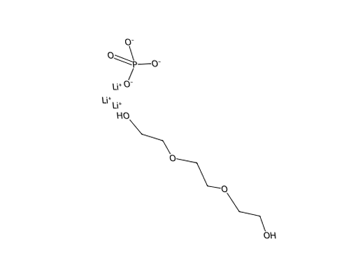 O=P([O-])([O-])[O-].OCCOCCOCCO.[Li+].[Li+].[Li+]